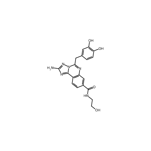 Nc1nc2c3ccc(C(=O)NCCO)cc3nc(Cc3ccc(O)c(O)c3)n2n1